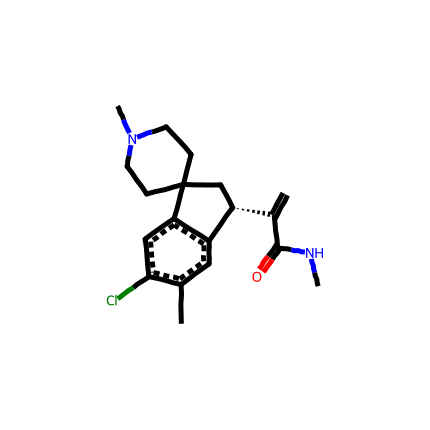 C=C(C(=O)NC)[C@H]1CC2(CCN(C)CC2)c2cc(Cl)c(C)cc21